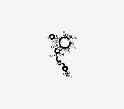 CC[C@H]1OC(=O)[C@H](C)C(=O)[C@H](C)[C@@H](O[C@@H]2O[C@H](C)C[C@H](N(C)CCc3cn(Cc4ccc(S(N)(=O)=O)cc4)nn3)[C@H]2O)[C@](C)(OC)C[C@@H](C)/C(=N\O[C@@H]2CCCNC2)[C@H](C)[C@@H](O)[C@]1(C)O